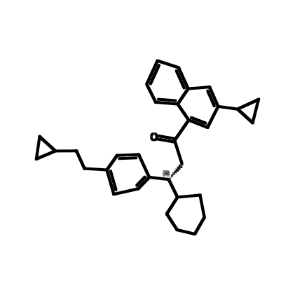 O=C(C[C@@H](c1ccc(CCC2CC2)cc1)C1CCCCC1)c1cc(C2CC2)cc2ccccc12